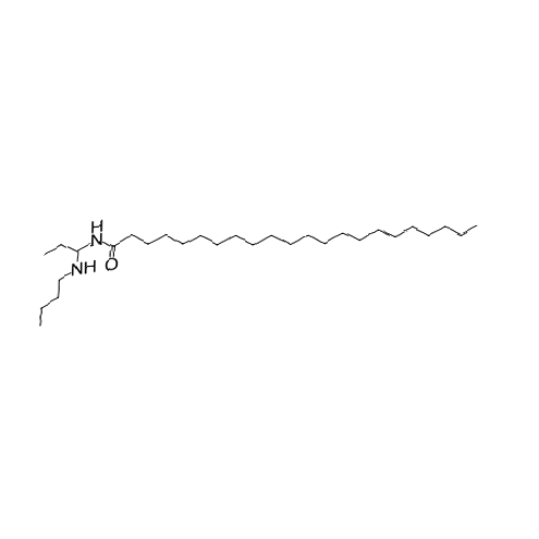 CCCCCCCCCCCCCCCCCCCCCC(=O)NC(CC)NCCCC